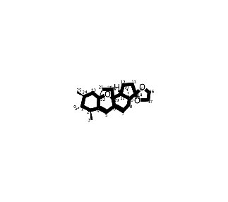 C[C@H]1[C@H](C)C2=CC3=CC[C@@]4(C)[C@@H](CCC45OCCO5)C34CC[C@]2(C[C@@H]1C)O4